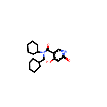 O=C(c1c[nH]c(=O)cc1O)N(CC1CCCCC1)C1CCCCC1